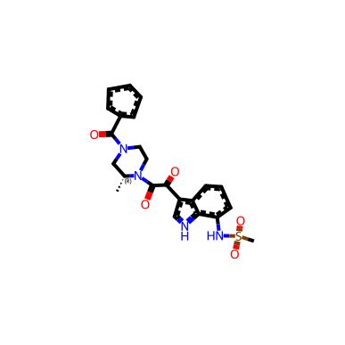 C[C@@H]1CN(C(=O)c2ccccc2)CCN1C(=O)C(=O)c1c[nH]c2c(NS(C)(=O)=O)cccc12